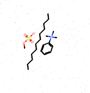 CCCCCCCCCCCC.COS(=O)(=O)[O-].C[N+](C)(C)c1ccccc1